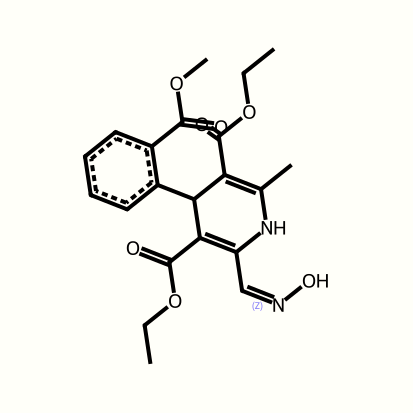 CCOC(=O)C1=C(C)NC(/C=N\O)=C(C(=O)OCC)C1c1ccccc1C(=O)OC